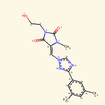 CN1C(=O)N(CCO)C(=O)/C1=C/n1cnc(-c2cc(C(F)(F)F)cc(C(F)(F)F)c2)n1